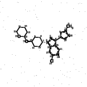 Cn1cc(-c2nn([C@H]3CC[C@H](OC4CCCCO4)CC3)c3cc(Cl)ncc23)cn1